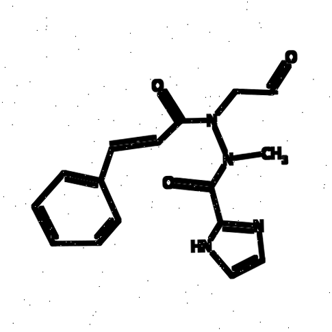 CN(C(=O)c1ncc[nH]1)N(C[C]=O)C(=O)C=Cc1ccccc1